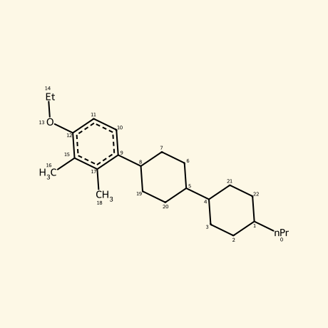 CCCC1CCC(C2CCC(c3ccc(OCC)c(C)c3C)CC2)CC1